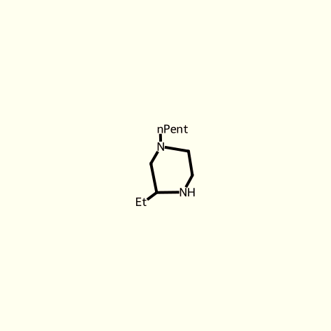 CCCCCN1CCNC(CC)C1